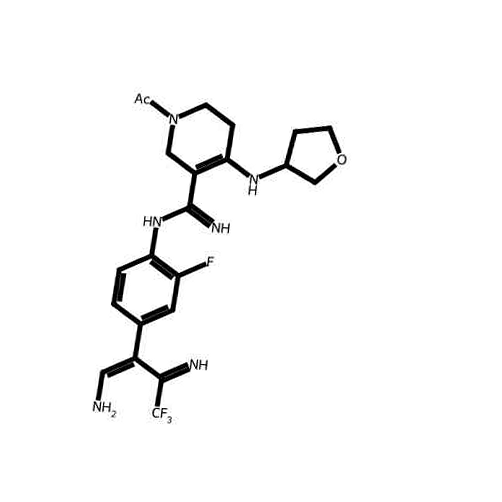 CC(=O)N1CCC(NC2CCOC2)=C(C(=N)Nc2ccc(/C(=C/N)C(=N)C(F)(F)F)cc2F)C1